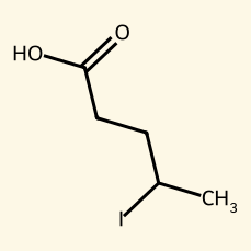 CC(I)CCC(=O)O